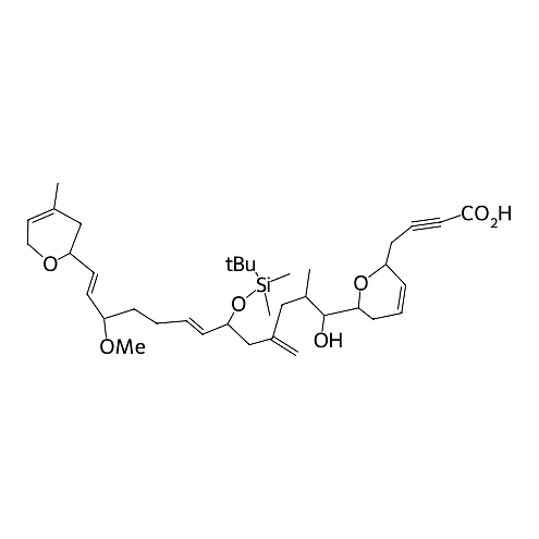 C=C(CC(C=CCCC(C=CC1CC(C)=CCO1)OC)O[Si](C)(C)C(C)(C)C)CC(C)C(O)C1CC=CC(CC#CC(=O)O)O1